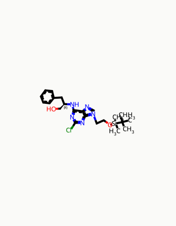 CC(C)(C)[Si](C)(C)OCCn1cnc2c(N[C@@H](CO)Cc3ccccc3)nc(Cl)nc21